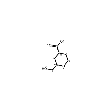 O=[N+]([O-])[C@H]1CCO[C@@H](CO)C1